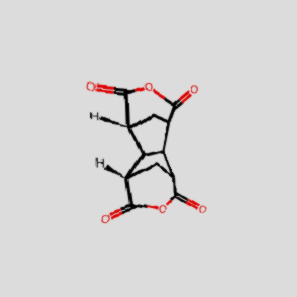 O=C1OC(=O)[C@H]2CC1C1C3C[C@@H](C(=O)OC3=O)C12